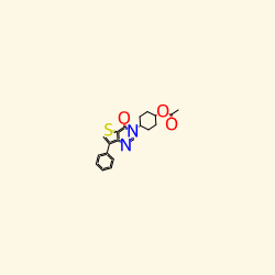 CC(=O)O[C@H]1CC[C@H](n2cnc3c(-c4ccccc4)csc3c2=O)CC1